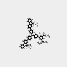 CC(C)c1cc(-c2ccc(N(c3ccc(-c4ccc5c(c4)C(C)(C)c4ccccc4-5)cc3)c3ccc(-c4ccc5c(c4)C(C)(C)c4ccccc4-5)cc3)cc2)cc(C(C)C)c1